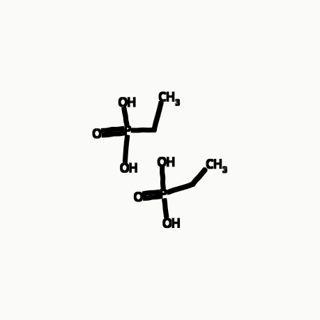 CCP(=O)(O)O.CCP(=O)(O)O